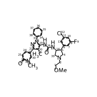 COCCN1CC(c2cc(F)cc(Cl)c2)[C@H](NC(=O)Nc2c(C)c(-c3ccc(=O)n(C)c3)nn2-c2ccccc2)C1